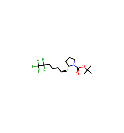 CC(C)(C)OC(=O)N1CCC[C@H]1/C=C\CCCC(F)(F)C(F)(F)F